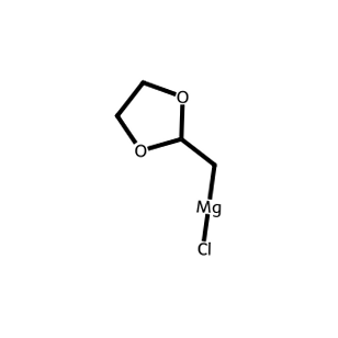 [Cl][Mg][CH2]C1OCCO1